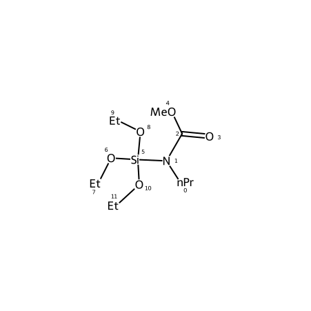 CCCN(C(=O)OC)[Si](OCC)(OCC)OCC